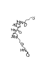 CN/C=C(\C=C\CCOCCNC=O)NC(=O)c1cc(NC(=O)CCCOC)cn1C